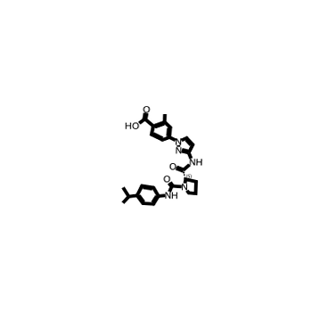 Cc1cc(-n2ccc(NC(=O)[C@@H]3CCCN3C(=O)Nc3ccc(C(C)C)cc3)n2)ccc1C(=O)O